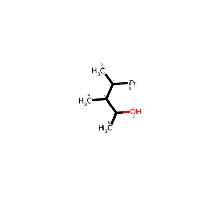 CC(C)C(C)C(C)C(C)O